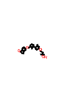 Cc1cc(OCCC(C)(C)O)ccc1-c1cccc(COc2ccc3c(c2)CCC3=O)c1C